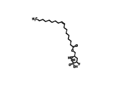 CCCCCCCC/C=C\CCCCCCCC(=O)OC[C@H](O)CC(F)P(=O)(O)O